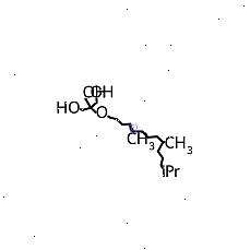 C/C(=C\CCCOCC(CO)(CO)CO)CCCC(C)CCCC(C)C